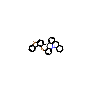 c1cc2c3c(c1)B1c4ccc5sc6ccccc6c5c4Sc4cccc(c41)N3C1CCCCC1C2